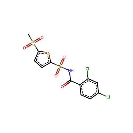 CS(=O)(=O)c1ccc(S(=O)(=O)NC(=O)c2ccc(Cl)cc2Cl)s1